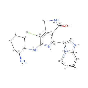 N[C@H]1CCCCC1Nc1nc(-c2cnc3ccccn23)c2c(c1F)CNC2=O